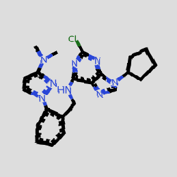 CN(C)c1ccn(-c2ccccc2CNc2nc(Cl)nc3c2ncn3C2CCCC2)n1